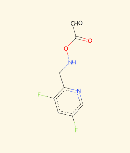 O=CC(=O)ONCc1ncc(F)cc1F